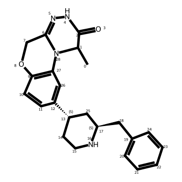 CC1C(=O)NN=C2COc3ccc([C@H]4CCN[C@H](Cc5ccccc5)C4)cc3N21